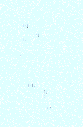 COc1c(NC(=O)Nc2ccc(Oc3ccnc(NC4CCOC4)n3)c3ccccc23)cc(C(C)(C)C)cc1P(C)(C)=O